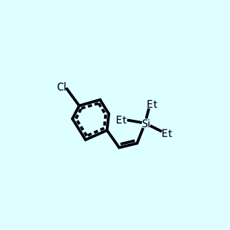 CC[Si](/C=C\c1ccc(Cl)cc1)(CC)CC